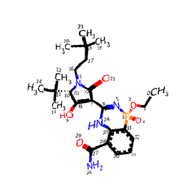 CCOP1(=O)N=C(C2=C(O)[C@H](C(C)(C)C)N(CCC(C)(C)C)C2=O)Nc2c(C(N)=O)cccc21